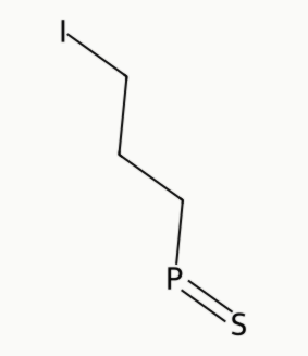 S=PCCCI